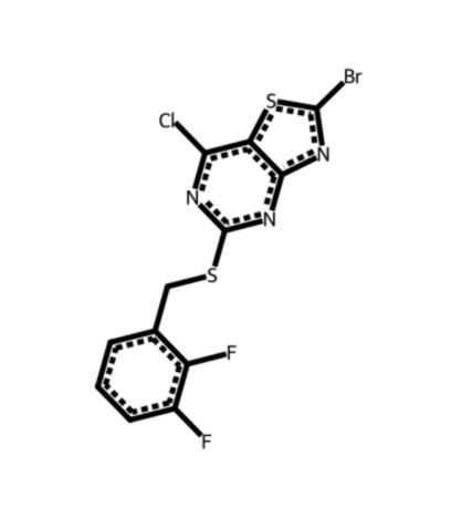 Fc1cccc(CSc2nc(Cl)c3sc(Br)nc3n2)c1F